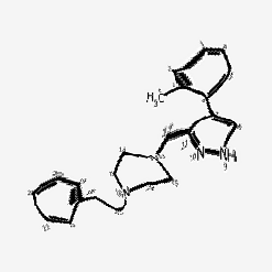 Cc1ccccc1-c1c[nH]nc1CN1CCN(Cc2ccccc2)CC1